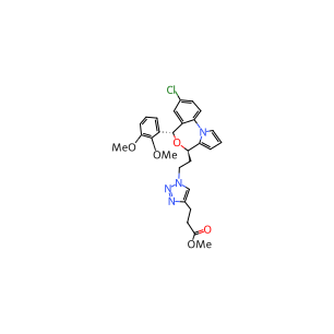 COC(=O)CCc1cn(CC[C@H]2O[C@H](c3cccc(OC)c3OC)c3cc(Cl)ccc3-n3cccc32)nn1